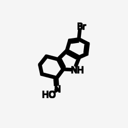 ON=C1CCCc2c1[nH]c1ccc(Br)cc21